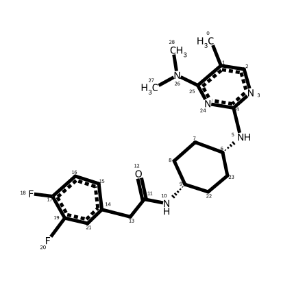 Cc1cnc(N[C@H]2CC[C@@H](NC(=O)Cc3ccc(F)c(F)c3)CC2)nc1N(C)C